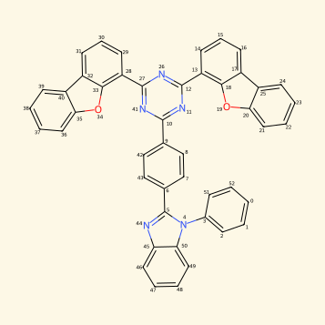 c1ccc(-n2c(-c3ccc(-c4nc(-c5cccc6c5oc5ccccc56)nc(-c5cccc6c5oc5ccccc56)n4)cc3)nc3ccccc32)cc1